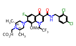 COc1c(N2C[C@@H](C)N(CC(=O)O)[C@@H](C)C2)c(F)cc2c(=O)c(C(=O)NCc3ccc(Cl)cc3Cl)cn(CC(F)(F)F)c12